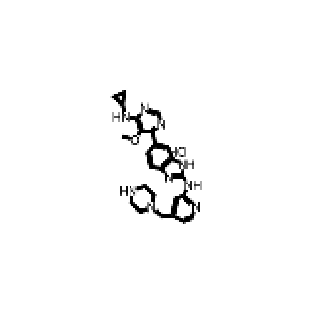 COc1c(NC2CC2)ncnc1-c1ccc2nc(Nc3cc(CN4CCNCC4)ccn3)[nH]c2c1.Cl